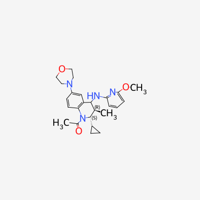 COc1cccc(NC2c3cc(N4CCOCC4)ccc3N(C(C)=O)[C@@H](C3CC3)[C@@H]2C)n1